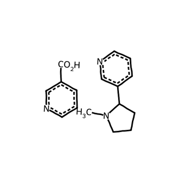 CN1CCCC1c1cccnc1.O=C(O)c1cccnc1